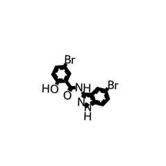 O=C(Nc1n[nH]c2ccc(Br)cc12)c1cc(Br)ccc1O